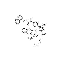 CCCCN(CCCC)C(=O)c1cc(C)n(-c2ccc(NC(=O)COc3cccc4ccccc34)cc2C(=O)N2Cc3ccccc3C[C@H]2CO)n1